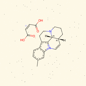 Cc1ccc2c3c4n(c2c1)C=C[C@H]1CCCN(CC3)[C@@H]41.O=C(O)/C=C\C(=O)O